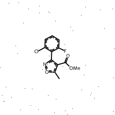 COC(=O)c1c(-c2c(F)cccc2Cl)noc1C